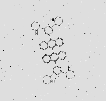 c1ccc2c(-c3c4ccccc4c(-c4cc(C5CCCCN5)cc(C5CCCCN5)c4)c4ccccc34)c3ccccc3c(-c3cc(C4CCCCN4)cc(C4CCCCN4)c3)c2c1